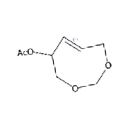 CC(=O)OC1/C=C/COCOC1